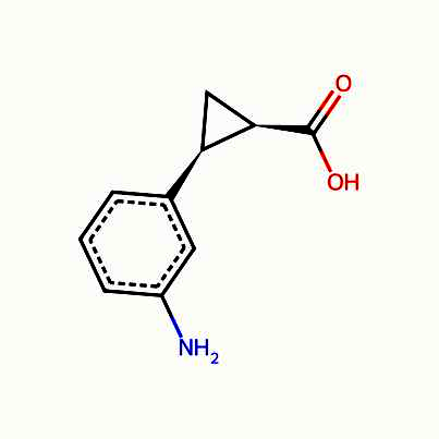 Nc1cccc([C@H]2C[C@H]2C(=O)O)c1